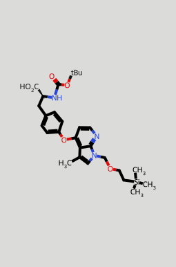 Cc1cn(COCC[Si](C)(C)C)c2nccc(Oc3ccc(C[C@H](NC(=O)OC(C)(C)C)C(=O)O)cc3)c12